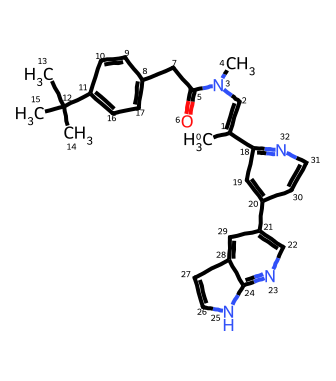 C/C(=C\N(C)C(=O)Cc1ccc(C(C)(C)C)cc1)c1cc(-c2cnc3[nH]ccc3c2)ccn1